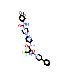 Cc1ccc(NC(=O)N2CCN(c3ccc(NC(=O)c4oc(N5CCC(c6ccccc6)CC5)nc4C(F)(F)F)cn3)CC2)cc1